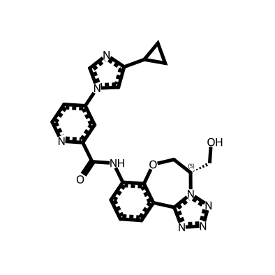 O=C(Nc1cccc2c1OC[C@H](CO)n1nnnc1-2)c1cc(-n2cnc(C3CC3)c2)ccn1